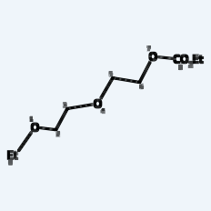 CCOCCOCCOC(=O)OCC